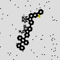 CC1(C)c2cc(-c3ccc4c(c3)C(C)(C)c3ccc5cc6c(cc5c3-4)sc3ccccc36)ccc2-c2ccc(-c3c4ccccc4c(-c4cccc5ccccc45)c4ccccc34)cc21